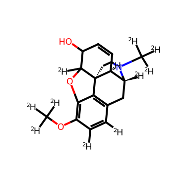 [2H]c1c([2H])c(OC([2H])([2H])[2H])c2c3c1C[C@]1([2H])[C@@H]4C=CC(O)C([2H])(O2)[C@]34CCN1C([2H])([2H])[2H]